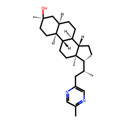 Cc1cnc(C[C@@H](C)[C@H]2CC[C@H]3[C@@H]4CC[C@@H]5C[C@](C)(O)CC[C@@H]5[C@H]4CC[C@]23C)cn1